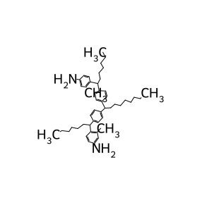 CCCCCCCCC(c1ccc(C(CCCCCC)c2ccc(N)cc2C)cc1)c1ccc(C(CCCCCC)c2ccc(N)cc2C)cc1